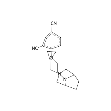 N#Cc1ccc(OCCN2C3CCC2CN(CC2CC2)C3)c(C#N)c1